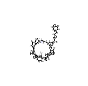 CC(CC[C@@H]1C/C=C/c2cc3cc(ccc3cn2)[C@@H](C)NC(=O)[C@@H]2CCCN(N2)C(=O)[C@H](C)NC(=O)[C@H](C(C)C)OC1=O)=NOCCN1CCOCC1